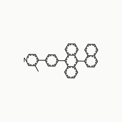 Cc1cnccc1-c1ccc(-c2c3ccccc3c(-c3cccc4ccccc34)c3ccccc23)cc1